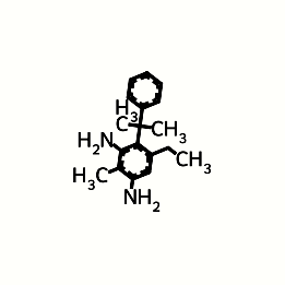 CCc1cc(N)c(C)c(N)c1C(C)(C)c1ccccc1